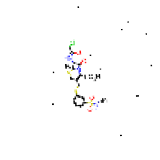 CCCNS(=O)(=O)c1cccc(SCC2=C(C(=O)O)N3C(=O)C(NC(=O)CCl)[C@H]3SC2)c1